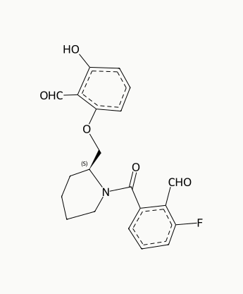 O=Cc1c(O)cccc1OC[C@@H]1CCCCN1C(=O)c1cccc(F)c1C=O